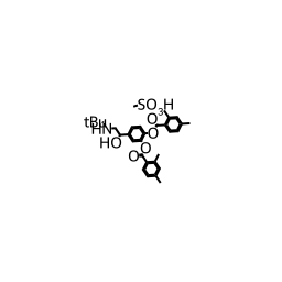 CS(=O)(=O)O.Cc1ccc(C(=O)Oc2ccc(C(O)CNC(C)(C)C)cc2OC(=O)c2ccc(C)cc2C)c(C)c1